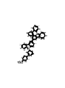 CC(C)(C)c1ccc(-c2cccc(-n3c4ccccc4c4cc(-c5ccc6c(c5)c5c(n6-c6ccccc6C6=CC=CCC6)C#CCC=C5)ccc43)c2)cc1